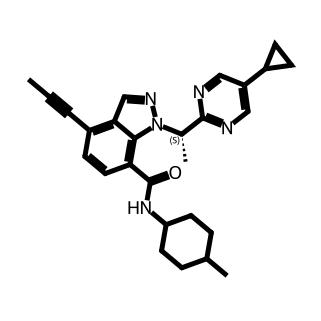 CC#Cc1ccc(C(=O)NC2CCC(C)CC2)c2c1cnn2[C@@H](C)c1ncc(C2CC2)cn1